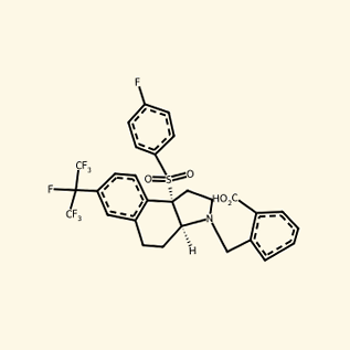 O=C(O)c1ccccc1CN1CC[C@]2(S(=O)(=O)c3ccc(F)cc3)c3ccc(C(F)(C(F)(F)F)C(F)(F)F)cc3CC[C@H]12